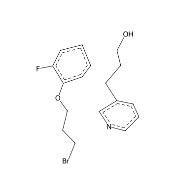 Fc1ccccc1OCCCBr.OCCCc1cccnc1